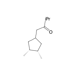 CC(C)C(=O)CC1C[C@@H](C)[C@@H](C)C1